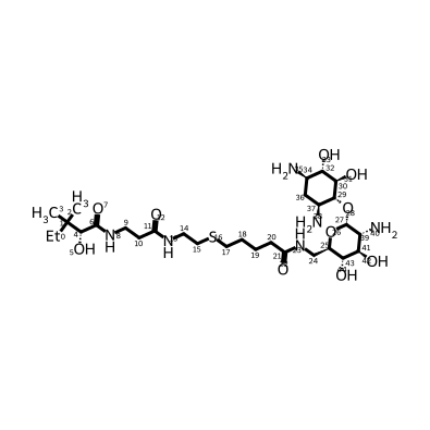 CCC(C)(C)[C@@H](O)C(=O)NCCC(=O)NCCSCCCCC(=O)NC[C@H]1O[C@H](O[C@H]2[C@H](O)[C@@H](O)[C@H](N)C[C@@H]2N)[C@H](N)[C@@H](O)[C@@H]1O